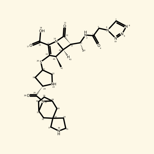 C[C@@H](NC(=O)Cn1cnnn1)[C@H]1C(=O)N2C(C(=O)O)=C(SC3CN[C@H](C(=O)N4C5CCC4CC4(CCNC4)C5)C3)[C@H](C)[C@H]12